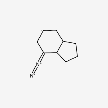 [N-]=[N+]=C1C[CH]CC2CCCC12